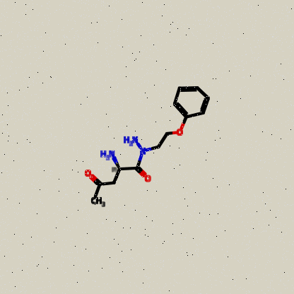 CC(=O)C[C@@H](N)C(=O)N(N)CCOc1ccccc1